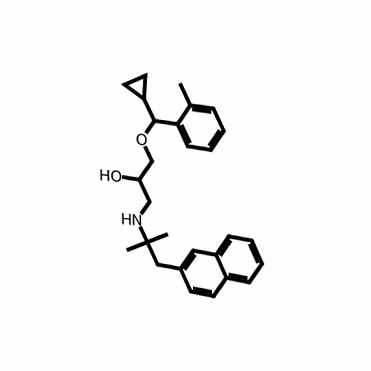 Cc1ccccc1C(OCC(O)CNC(C)(C)Cc1ccc2ccccc2c1)C1CC1